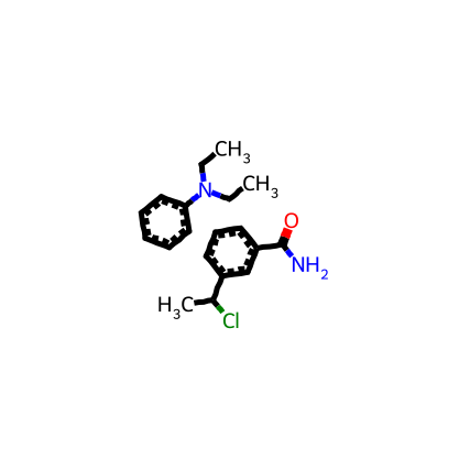 CC(Cl)c1cccc(C(N)=O)c1.CCN(CC)c1ccccc1